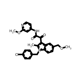 COCc1ccc2c(c1)c(C(=O)C(=O)Nc1ccnc(OC)c1)c(C)n2Cc1ccc(Cl)cc1